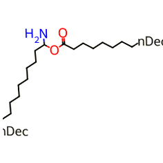 CCCCCCCCCCCCCCCCCCCC(N)OC(=O)CCCCCCCCCCCCCCCCC